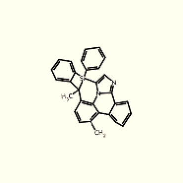 Cc1ccc2c3c1c1ccccc1c1ncc(n13)[Si]1(c3ccccc3)c3ccccc3C21C